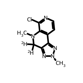 [2H]C1([2H])c2nn(C)nc2-c2ccnc(Cl)c2N1C